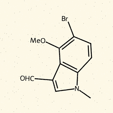 COc1c(Br)ccc2c1c(C=O)cn2C